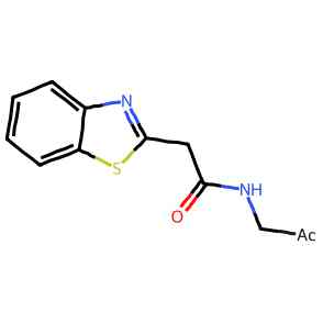 CC(=O)CNC(=O)Cc1nc2ccccc2s1